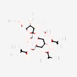 C=C(C)C(=O)OC[C@H]1O[C@H](O[C@]2(COC)O[C@H](COC)[C@@H](OC)[C@@H]2OC)[C@H](OC)[C@@H](OC(=O)C(=C)C)[C@@H]1OC(=O)C(=C)C